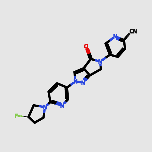 N#Cc1ccc(N2Cc3nn(-c4ccc(N5CC[C@H](F)C5)nc4)cc3C2=O)cn1